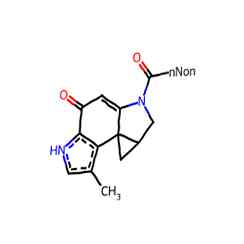 CCCCCCCCCC(=O)N1CC2CC23C1=CC(=O)c1[nH]cc(C)c13